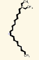 CCCCCCCC/C=C\CCCCCCCCN(CC)CC